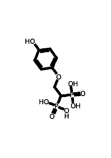 O=P(O)(O)C(COc1ccc(O)cc1)P(=O)(O)O